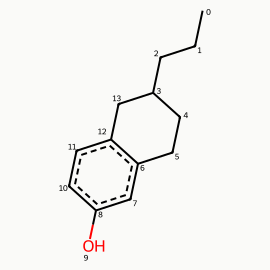 CCCC1CCc2cc(O)ccc2C1